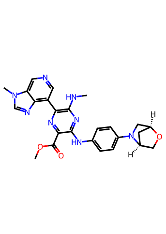 CNc1nc(Nc2ccc(N3C[C@@H]4C[C@H]3CO4)cc2)c(C(=O)OC)nc1-c1cncc2c1ncn2C